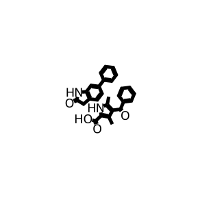 Cc1[nH]c(C(=O)O)c(C)c1C(=O)c1ccccc1.O=C1Cc2ccc(-c3ccccc3)cc2N1